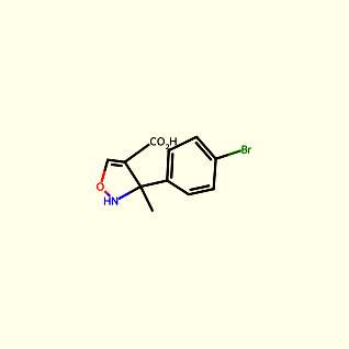 CC1(c2ccc(Br)cc2)NOC=C1C(=O)O